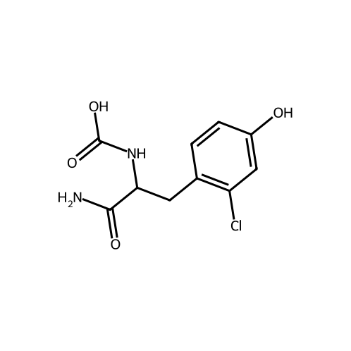 NC(=O)C(Cc1ccc(O)cc1Cl)NC(=O)O